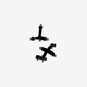 O=S(=O)(O)O.O=[Si]([O-])[O-].[Mg+2]